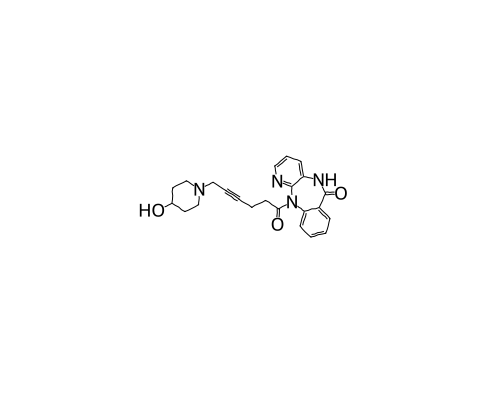 O=C1Nc2cccnc2N(C(=O)CCC#CCN2CCC(O)CC2)c2ccccc21